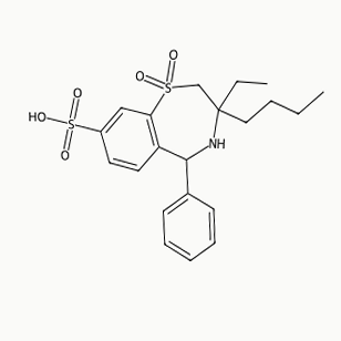 CCCCC1(CC)CS(=O)(=O)c2cc(S(=O)(=O)O)ccc2C(c2ccccc2)N1